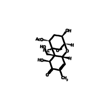 CC(=O)O[C@@H]1C[C@@H](O)[C@H]2O[C@@H]3C=C(C)C(=O)[C@@H](O)[C@]3(CO)[C@]1(C)[C@@]21CO1